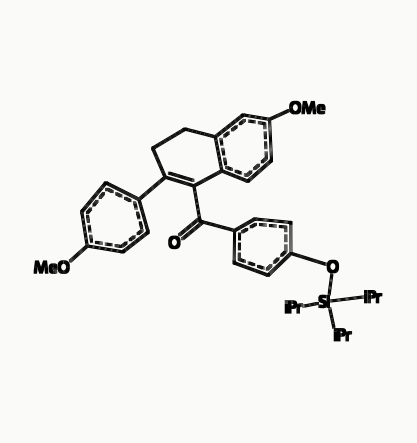 COc1ccc(C2=C(C(=O)c3ccc(O[Si](C(C)C)(C(C)C)C(C)C)cc3)c3ccc(OC)cc3CC2)cc1